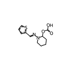 O=C(O)OC1CCCCN1/N=C/c1cccs1